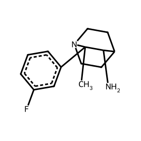 CC1(c2cccc(F)c2)C(N)C2CCN1CC2